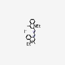 CCN1C(C)=C/C(=C/C=C/c2cc(C)c3ccccc3[n+]2CC)c2ccccc21.[I-]